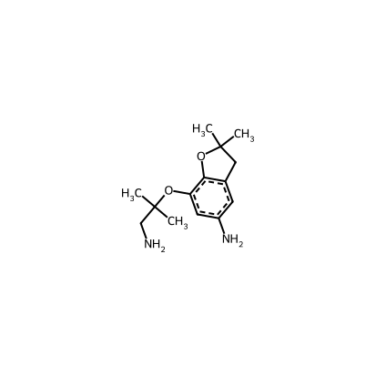 CC(C)(CN)Oc1cc(N)cc2c1OC(C)(C)C2